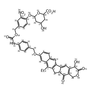 CCc1c2c(nc3ccc(OCc4ccc(NC(=O)OCc5ccc(OC6CC(O)CC(C(=O)O)O6)c([N+](=O)[O-])c5)cc4)cc13)-c1cc3c(c(=O)n1C2)COC(=O)C3O